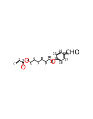 C=CC(=O)OCCCCCCOc1c[c]c(C=O)cc1